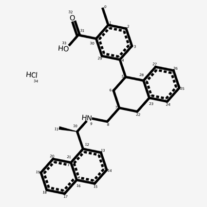 Cc1ccc(C2CC(CN[C@H](C)c3cccc4ccccc34)Cc3ccccc32)cc1C(=O)O.Cl